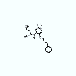 CCC[C@@H](CCO)Nc1cc(N)ncc1OCCCc1ccccc1